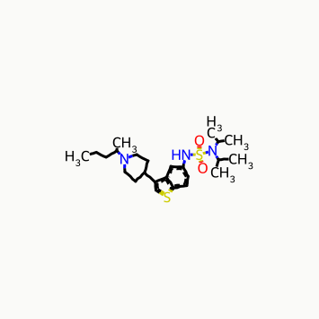 CCCC(C)N1CCC(c2csc3ccc(NS(=O)(=O)N(C(C)C)C(C)C)cc23)CC1